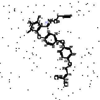 C#CCO/N=C/c1c(C)nn(C)c1Oc1ccc(Oc2ccc(OCC=C(Cl)Cl)cc2)cc1